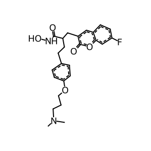 CN(C)CCCOc1ccc(CCC(Cc2cc3ccc(F)cc3oc2=O)C(=O)NO)cc1